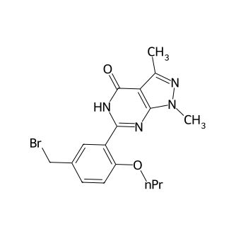 CCCOc1ccc(CBr)cc1-c1nc2c(c(C)nn2C)c(=O)[nH]1